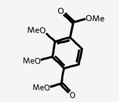 COC(=O)c1ccc(C(=O)OC)c(OC)c1OC